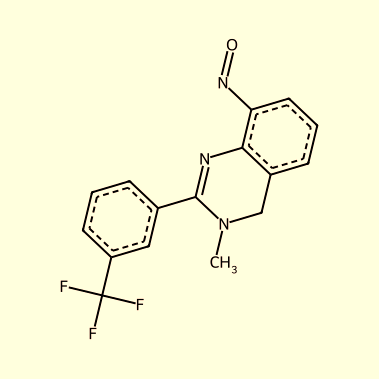 CN1Cc2cccc(N=O)c2N=C1c1cccc(C(F)(F)F)c1